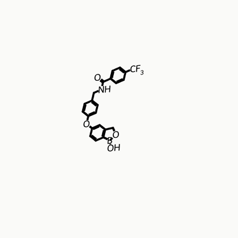 O=C(NCc1ccc(Oc2ccc3c(c2)COB3O)cc1)c1ccc(C(F)(F)F)cc1